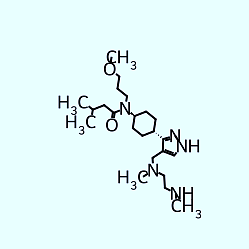 CNCCN(C)Cc1c[nH]nc1[C@H]1CC[C@H](N(CCCOC)C(=O)CC(C)C)CC1